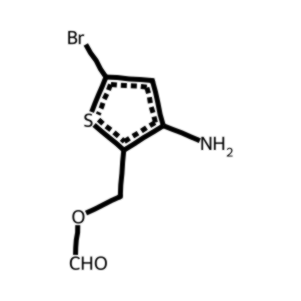 Nc1cc(Br)sc1COC=O